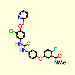 CNC(=O)c1cc(Oc2ccc(NC(=O)Nc3ccc(OCc4ccccn4)c(Cl)c3)cc2)ccc1F